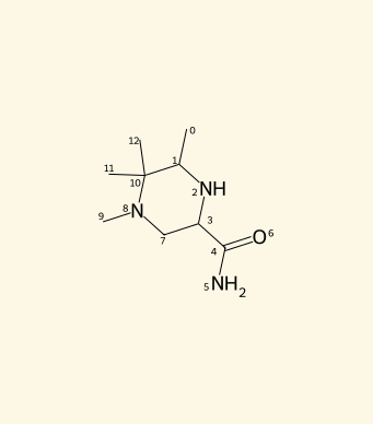 CC1NC(C(N)=O)CN(C)C1(C)C